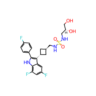 O=S(=O)(NC[C@@H](O)CO)NC[C@H]1C[C@H](c2c(-c3ccc(F)cc3)[nH]c3c(F)cc(F)cc32)C1